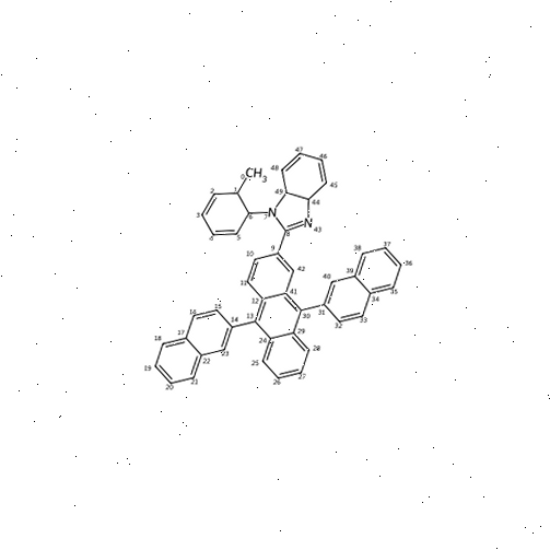 CC1C=CC=CC1N1C(c2ccc3c(-c4ccc5ccccc5c4)c4ccccc4c(-c4ccc5ccccc5c4)c3c2)=NC2C=CC=CC21